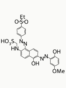 CCS(=O)(=O)c1ccc(/N=N/c2c(NCS(=O)(=O)O)ccc3c(O)c(/N=N/c4cc(OC)ccc4O)ccc23)cc1